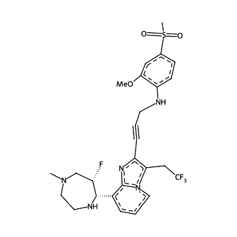 COc1cc(S(C)(=O)=O)ccc1NCC#Cc1nc2c([C@@H]3NCCN(C)C[C@@H]3F)cccn2c1CC(F)(F)F